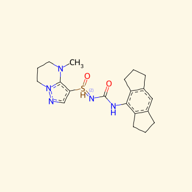 CN1CCCn2ncc(/[SH](=O)=N/C(=O)Nc3c4c(cc5c3CCC5)CCC4)c21